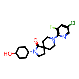 O=C1N([C@H]2CC[C@H](O)CC2)CCC12CCN(c1ncc(Cl)cc1F)CC2